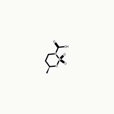 C[C@H]1CCN(C(=O)O)S(=O)(=O)O1